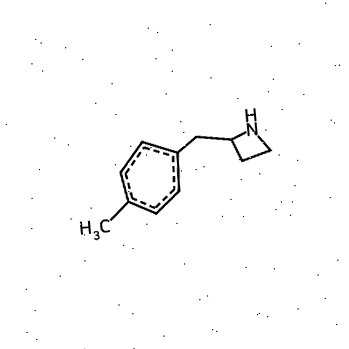 Cc1ccc(CC2CCN2)cc1